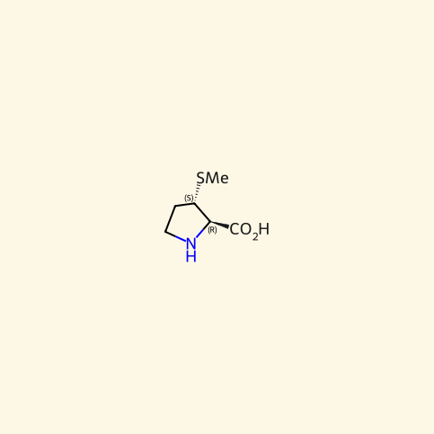 CS[C@H]1CCN[C@@H]1C(=O)O